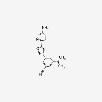 CN(C)c1cc(C#N)cc(-c2noc(-c3ccc(N)cn3)n2)c1